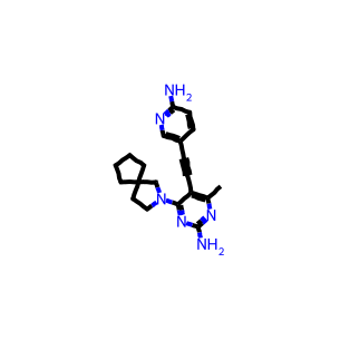 Cc1nc(N)nc(N2CCC3(CCCC3)C2)c1C#Cc1ccc(N)nc1